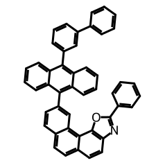 c1ccc(-c2cccc(-c3c4ccccc4c(-c4ccc5ccc6ccc7nc(-c8ccccc8)oc7c6c5c4)c4ccccc34)c2)cc1